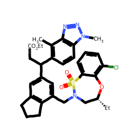 CCOC(=O)CC(c1cc2c(c(CN3C[C@@H](CC)Oc4c(Cl)cccc4S3(=O)=O)c1)CCC2)c1ccc2c(nnn2C)c1C